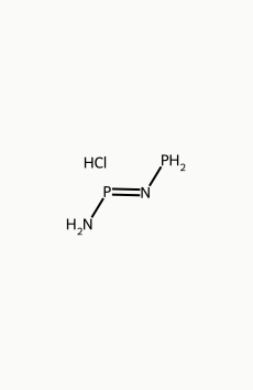 Cl.NP=NP